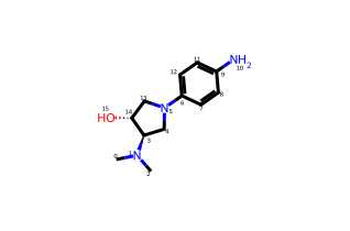 CN(C)[C@@H]1CN(c2ccc(N)cc2)C[C@H]1O